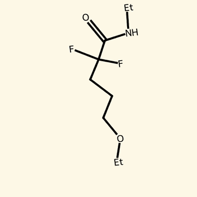 CCNC(=O)C(F)(F)CCCOCC